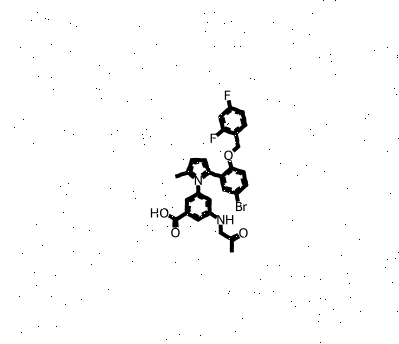 CC(=O)CNc1cc(C(=O)O)cc(-n2c(C)ccc2-c2cc(Br)ccc2OCc2ccc(F)cc2F)c1